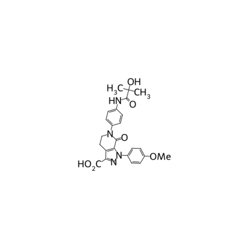 COc1ccc(-n2nc(C(=O)O)c3c2C(=O)N(c2ccc(NC(=O)C(C)(C)O)cc2)CC3)cc1